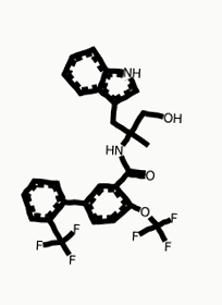 CC(CO)(Cc1c[nH]c2ccccc12)NC(=O)c1cc(-c2ccccc2C(F)(F)F)ccc1OC(F)(F)F